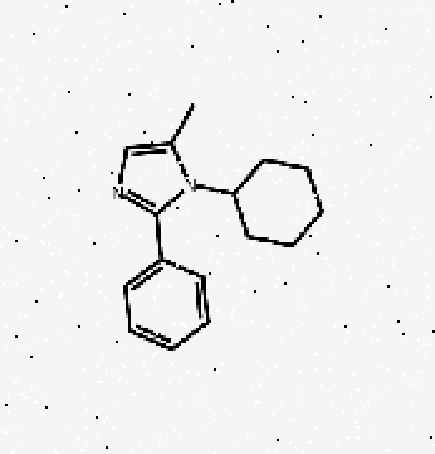 Cc1cnc(-c2ccccc2)n1C1CCCCC1